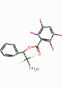 O=C(OC(c1ccccc1)C(F)(F)C(=O)O)c1c(I)c(I)cc(I)c1I